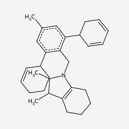 Cc1cc(C2C=CC=CC2)c(CN2C3=C(CCCC3)C(C)C2C)c(C2C=CCCC2)c1